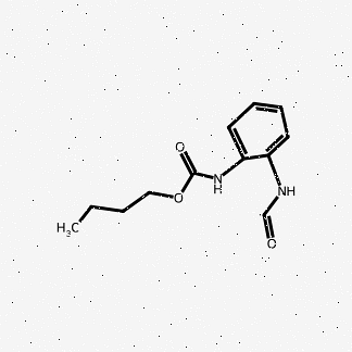 CCCCOC(=O)Nc1ccccc1N[C]=O